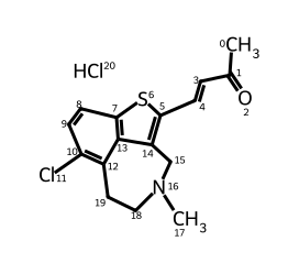 CC(=O)/C=C/c1sc2ccc(Cl)c3c2c1CN(C)CC3.Cl